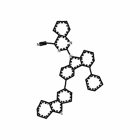 N#Cc1nc(-n2c3ccc(-c4ccc5sc6ccccc6c5c4)cc3c3c(-c4ccccc4)cccc32)nc2ccccc12